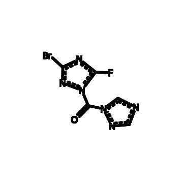 O=C(n1cncn1)n1nc(Br)nc1F